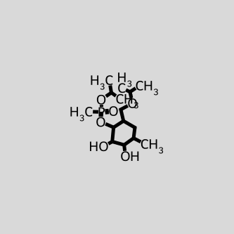 CC(C)OCC1CC(C)C(O)C(O)C1OP(C)(=O)OC(C)C